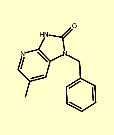 Cc1cnc2[nH]c(=O)n(Cc3ccccc3)c2c1